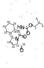 CC(C)COC(=O)N[C@H](C(=O)N1CC=C[C@H]1C=O)C1CCCCC1